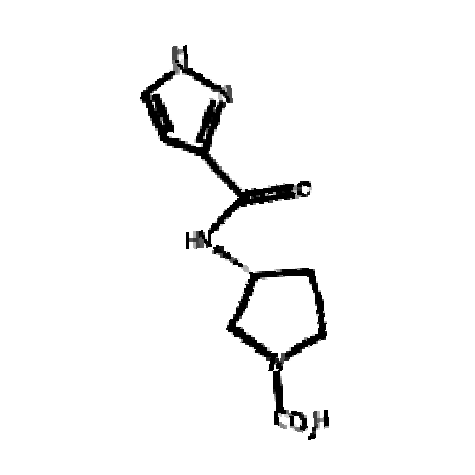 O=C(N[C@@H]1CCN(C(=O)O)C1)c1cc[nH]n1